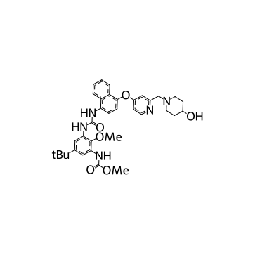 COC(=O)Nc1cc(C(C)(C)C)cc(NC(=O)Nc2ccc(Oc3ccnc(CN4CCC(O)CC4)c3)c3ccccc23)c1OC